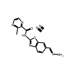 C#N.C#N.Cc1nccnc1C(=O)Nc1nc2ccc(C=NN)cc2s1